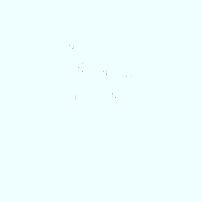 CN(C)/C=N/c1nc(=O)n(C(=O)OCc2ccccc2)cc1F